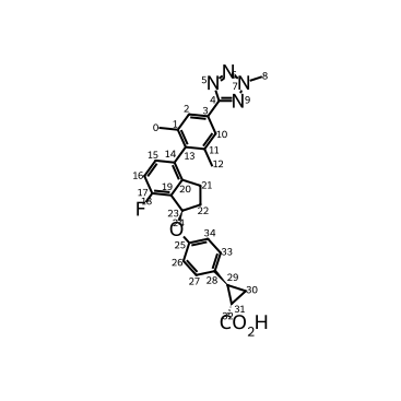 Cc1cc(-c2nnn(C)n2)cc(C)c1-c1ccc(F)c2c1CC[C@H]2Oc1ccc([C@H]2C[C@@H]2C(=O)O)cc1